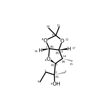 CC[C@](C)(O)[C@H]1O[C@@H]2OC(C)(C)O[C@@H]2[C@@H]1C